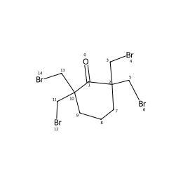 O=C1C(CBr)(CBr)CCCC1(CBr)CBr